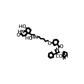 O=C(c1cccc(OCCCCCNC[C@H](O)c2ccc(O)c3[nH]c(=O)ccc23)c1)N1CC(C(=O)O)(c2ccccc2)[C@H]1C1CN2CCC1CC2